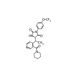 CC(c1ccncc1C(=O)N1CCCCC1)C1NC(=O)N(c2ccc(OC(F)(F)F)cc2)C1=O